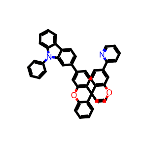 c1ccc(-n2c3ccccc3c3ccc(-c4ccc5c(c4)Oc4ccccc4C54c5ccccc5Oc5cc(-c6ccccn6)ccc54)cc32)cc1